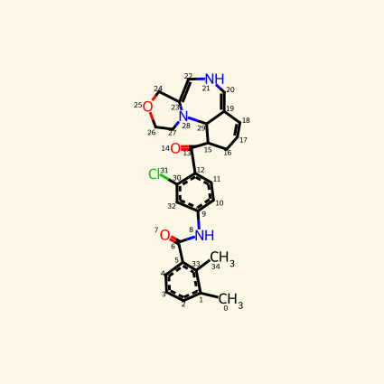 Cc1cccc(C(=O)Nc2ccc(C(=O)C3CC=CC4=CNC=C5COCCN5C43)c(Cl)c2)c1C